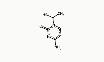 CC(S)n1ccc(N)nc1=O